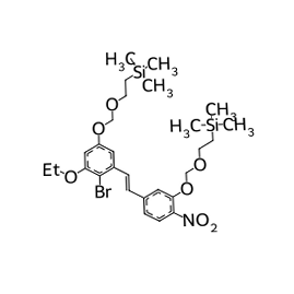 CCOc1cc(OCOCC[Si](C)(C)C)cc(C=Cc2ccc([N+](=O)[O-])c(OCOCC[Si](C)(C)C)c2)c1Br